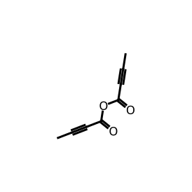 CC#CC(=O)OC(=O)C#CC